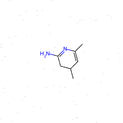 CC1=CC(C)CC(N)=N1